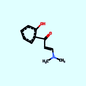 CN(C)/C=C/C(=O)c1ccccc1O